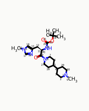 CN1CCC(C2CCN(C(=O)[C@@H](Cc3cn(C)cn3)NC(=O)OC(C)(C)C)CC2)CC1